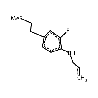 C=CCBc1ccc(CCSC)cc1F